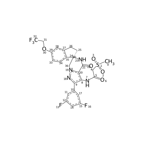 CS(=O)(=O)CC(=O)Nc1c(-c2cc(F)cc(F)c2)nn2c1C(=O)N[C@@]1(CCc3cc(OCC(F)(F)F)ccc31)C2